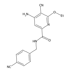 CCOc1nc(C(=O)NCc2ccc(C#N)cc2)cc(N)c1C#N